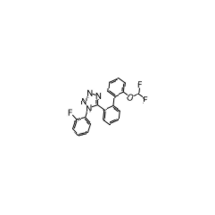 Fc1ccccc1-n1nnnc1-c1ccccc1-c1ccccc1OC(F)F